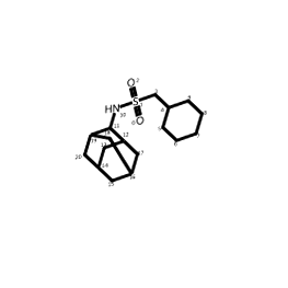 O=S(=O)(CC1CCCCC1)NC1C2CC3CC(C2)CC1C3